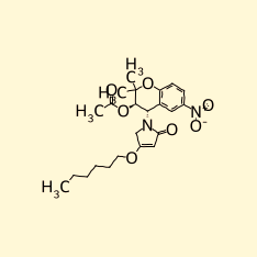 CCCCCCOC1=CC(=O)N([C@H]2c3cc([N+](=O)[O-])ccc3OC(C)(C)[C@@H]2OC(C)=O)C1